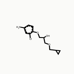 Nc1ccc(OCC(O)COCC2CC2)c(Cl)c1